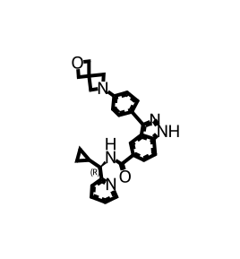 O=C(N[C@@H](c1ccccn1)C1CC1)c1ccc2[nH]nc(-c3ccc(N4CC5(COC5)C4)cc3)c2c1